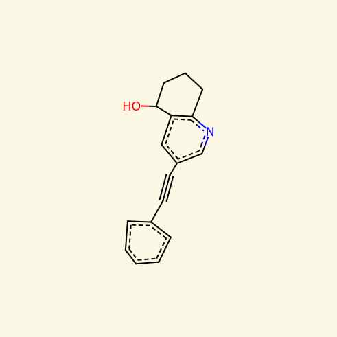 OC1CCCc2ncc(C#Cc3ccccc3)cc21